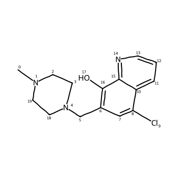 CN1CCN(Cc2cc(Cl)c3cccnc3c2O)CC1